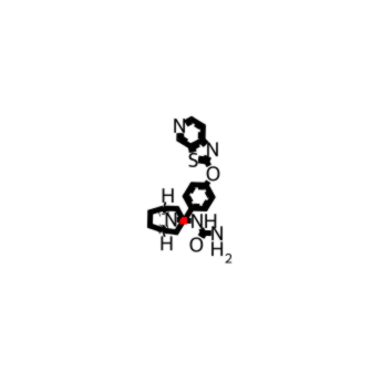 NC(=O)NC1C[C@H]2CC[C@@H](C1)N2Cc1ccc(Oc2nc3ccncc3s2)cc1